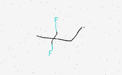 [CH2]CC(C)(F)F